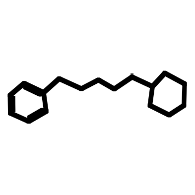 [CH](CCCCc1ccccc1)C1CCCCC1